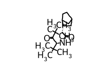 CC(C)(C)C(=O)[C@@H](NC(=O)C[C@H]1CC2CCC1C2)C(C)(C)C